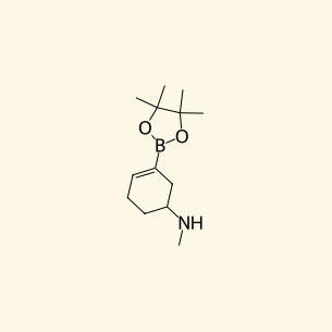 CNC1CCC=C(B2OC(C)(C)C(C)(C)O2)C1